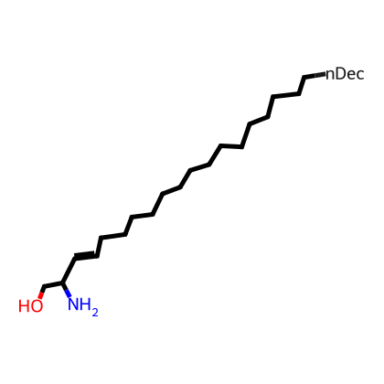 CCCCCCCCCCCCCCCCCCCCCCCCC/C=C/C(N)CO